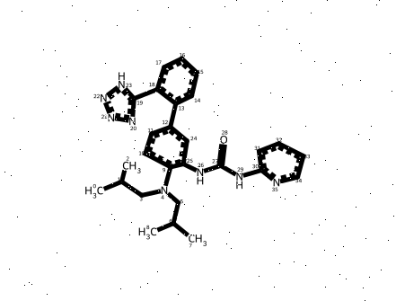 CC(C)CN(CC(C)C)c1ccc(-c2ccccc2-c2nnn[nH]2)cc1NC(=O)Nc1ccccn1